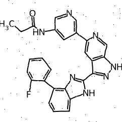 CCC(=O)Nc1cncc(-c2cc3c(-c4nc5c(-c6ccccc6F)cccc5[nH]4)n[nH]c3cn2)c1